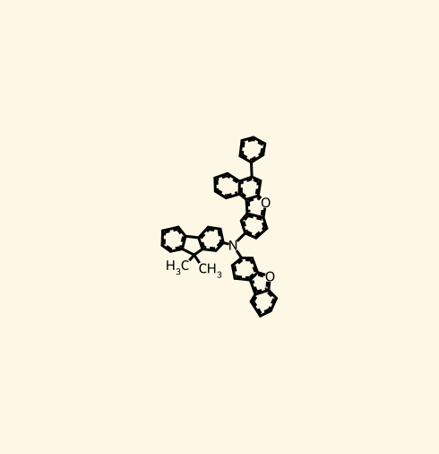 CC1(C)c2ccccc2-c2ccc(N(c3ccc4c(c3)oc3ccccc34)c3ccc4oc5cc(-c6ccccc6)c6ccccc6c5c4c3)cc21